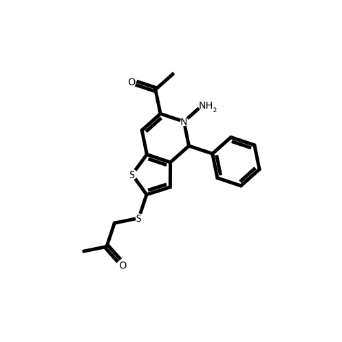 CC(=O)CSc1cc2c(s1)C=C(C(C)=O)N(N)C2c1ccccc1